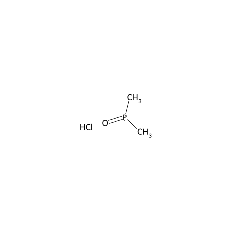 C[P](C)=O.Cl